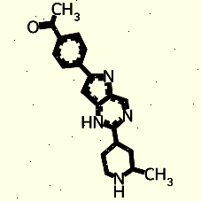 CC(=O)c1ccc(-c2cc3[nH]c(C4CCNC(C)C4)ncc-3n2)cc1